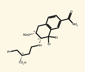 CCC1(CC)c2cc(C(N)=O)ccc2C[C@@H](OC)[C@H]1NCC[C@@H](CC(C)C)C(=O)O